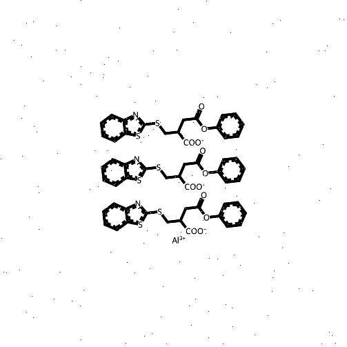 O=C(CC(CSc1nc2ccccc2s1)C(=O)[O-])Oc1ccccc1.O=C(CC(CSc1nc2ccccc2s1)C(=O)[O-])Oc1ccccc1.O=C(CC(CSc1nc2ccccc2s1)C(=O)[O-])Oc1ccccc1.[Al+3]